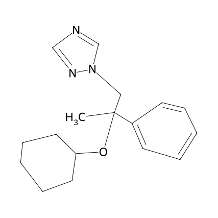 CC(Cn1cncn1)(OC1CCCCC1)c1ccccc1